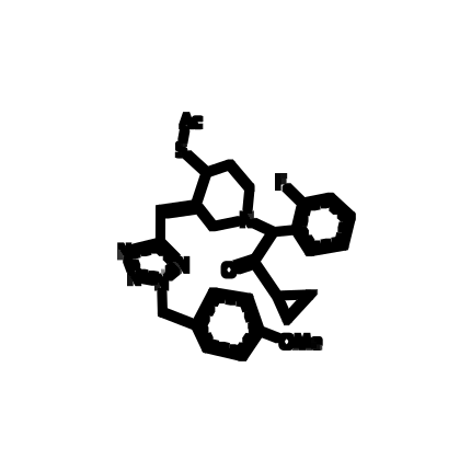 COc1ccc(Cn2nnc(C=C3CN(C(C(=O)C4CC4)c4ccccc4F)CCC3SC(C)=O)n2)cc1